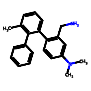 Cc1cccc(-c2ccc(N(C)C)cc2CN)c1-c1ccccc1